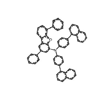 c1ccc(-c2cc(N(c3ccc(-c4cccc5ccccc45)cc3)c3ccc(-c4cccc5ccccc45)cc3)c3oc4c(-c5ccccc5)cccc4c3c2)cc1